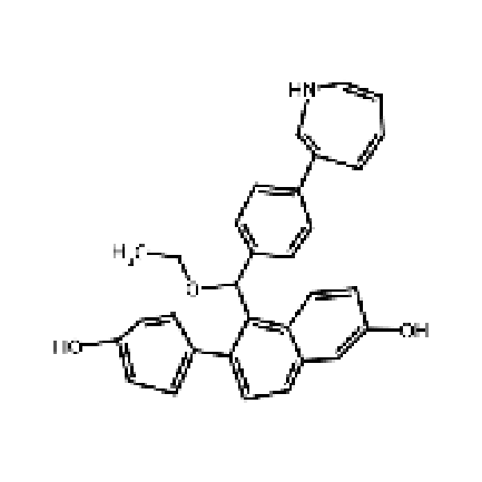 CCOC(c1ccc(C2=CNC=CC=C2)cc1)c1c(-c2ccc(O)cc2)ccc2cc(O)ccc12